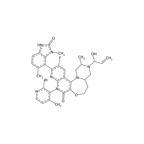 C=CC(O)N1CC2CCOc3c(c4cc(F)c(-c5c(C)ccc6[nH]c(=O)n(C)c56)nc4n(-c4c(C)ccnc4C(C)C)c3=O)N2CC1C